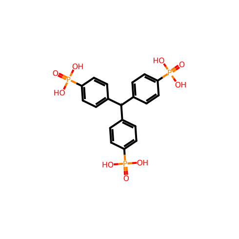 O=P(O)(O)c1ccc([C](c2ccc(P(=O)(O)O)cc2)c2ccc(P(=O)(O)O)cc2)cc1